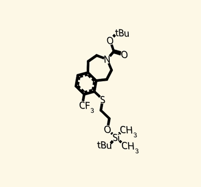 CC(C)(C)OC(=O)N1CCc2ccc(C(F)(F)F)c(SCCO[Si](C)(C)C(C)(C)C)c2CC1